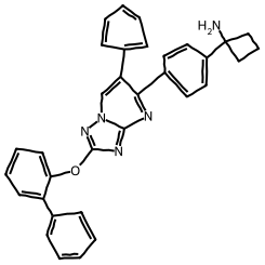 NC1(c2ccc(-c3nc4nc(Oc5ccccc5-c5ccccc5)nn4cc3-c3ccccc3)cc2)CCC1